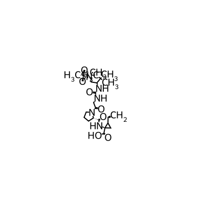 C=CC1C[C@]1(NC(=O)[C@@H]1CCCN1C(=O)CNC(=O)NC(CN(C)S(C)(=O)=O)C(C)(C)C)C(=O)O